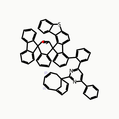 C1=CC2(c3nc(-c4ccccc4)cc(-c4ccccc4-c4cccc5c4-c4ccc6sc7ccccc7c6c4C54c5ccccc5C5(c6ccccc6-c6ccccc65)c5ccccc54)n3)C/C=C\C=C/C(=C1)C2